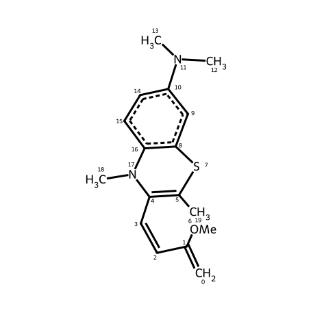 C=C(/C=C\C1=C(C)Sc2cc(N(C)C)ccc2N1C)OC